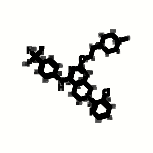 CN1CCN(CCOc2nc3c(c(Nc4ccc(C(F)(F)F)cc4)n2)CCN(c2ncccc2Cl)C3)CC1